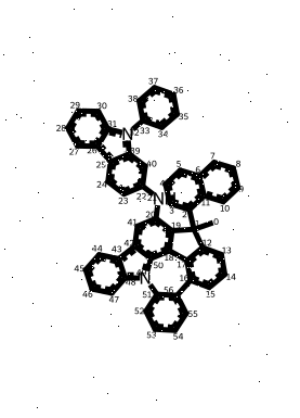 CC1(c2cccc3ccccc23)c2cccc3c2-c2c1c(Nc1ccc4c5ccccc5n(-c5ccccc5)c4c1)cc1c4ccccc4n(c21)-c1ccccc1-3